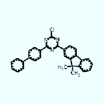 CC1(C)c2ccccc2-c2ccc(-c3nc(Cl)nc(-c4ccc(-c5ccccc5)cc4)n3)cc21